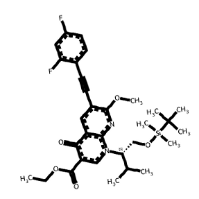 CCOC(=O)c1cn([C@H](CO[Si](C)(C)C(C)(C)C)C(C)C)c2nc(OC)c(C#Cc3ccc(F)cc3F)cc2c1=O